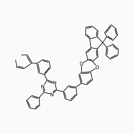 C/C=C\C(=C/C)c1cccc(-c2nc(-c3ccccc3)nc(-c3cccc(-c4ccc5c(c4)Oc4cc6c(cc4O5)C(c4ccccc4)(c4ccccc4)c4ccccc4-6)c3)n2)c1